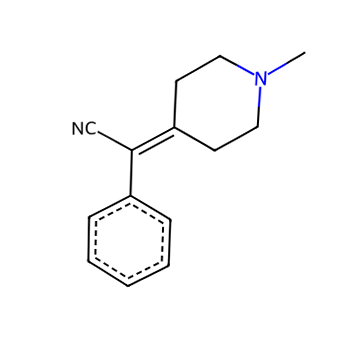 CN1CCC(=C(C#N)c2ccccc2)CC1